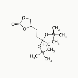 C[Si](C)(C)O[Si](C)(CCC1COC(=O)O1)O[Si](C)(C)C